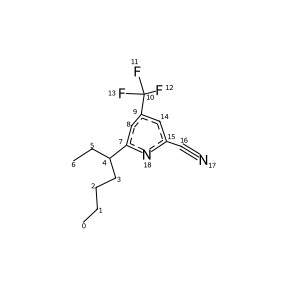 CCCCC(CC)c1cc(C(F)(F)F)cc(C#N)n1